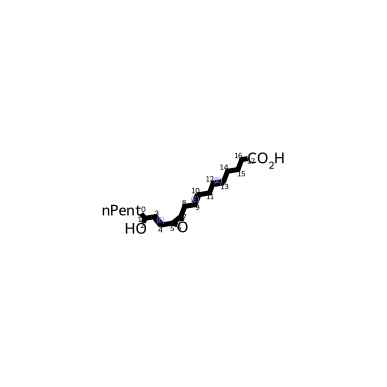 CCCCCC(O)/C=C/C1OC1C/C=C/C/C=C/CCCC(=O)O